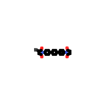 CCC1=CC(=O)N(C2CCC(C3CCC(c4ccc(N5C(=O)C=CC5=O)cc4)CC3)CC2)C1=O